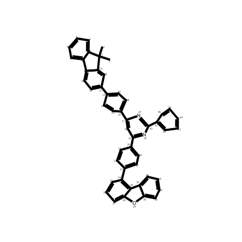 CC1(C)c2ccccc2-c2ccc(-c3ccc(-c4cc(-c5ccc(-c6cccc7oc8ccccc8c67)cc5)nc(-c5ccccc5)n4)cc3)cc21